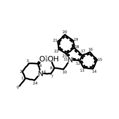 CC1CCC(=O)N(CC(O)Cn2c3ccccc3c3ccccc32)C1